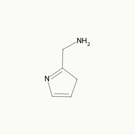 NCC1=NC=CC1